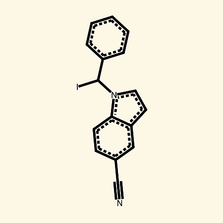 N#Cc1ccc2c(ccn2C(I)c2ccccc2)c1